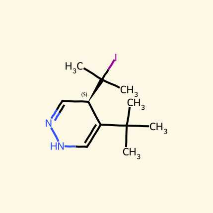 CC(C)(C)C1=CNN=C[C@H]1C(C)(C)I